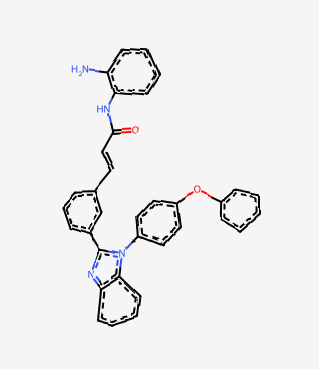 Nc1ccccc1NC(=O)C=Cc1cccc(-c2nc3ccccc3n2-c2ccc(Oc3ccccc3)cc2)c1